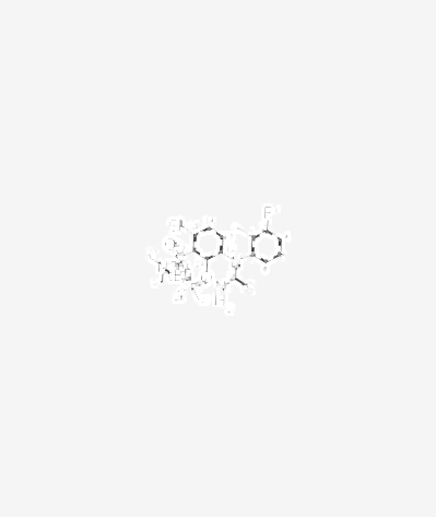 Cc1c(F)cccc1N(C(N)=S)c1ccc(Cl)c(S(=O)(=O)N(C)C)c1O[Si](C)(C)C(C)(C)C